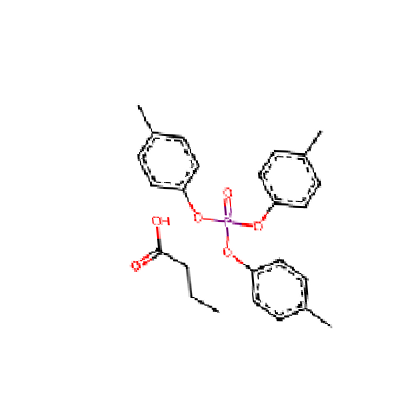 CCCC(=O)O.Cc1ccc(OP(=O)(Oc2ccc(C)cc2)Oc2ccc(C)cc2)cc1